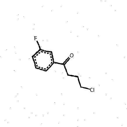 O=C(CCCCl)c1cccc(F)c1